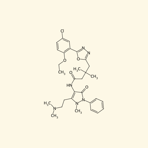 CCOc1ccc(Cl)cc1-c1nnc(CC(C)(C)CC(=O)Nc2c(CCN(C)C)n(C)n(-c3ccccc3)c2=O)o1